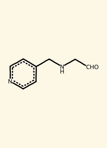 O=CCNCc1ccncc1